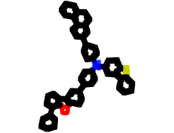 c1ccc(-c2cccc3c2oc2ccc(-c4ccc(N(c5ccc(-c6ccc7c(ccc8ccccc87)c6)cc5)c5ccc6sc7ccccc7c6c5)cc4)cc23)cc1